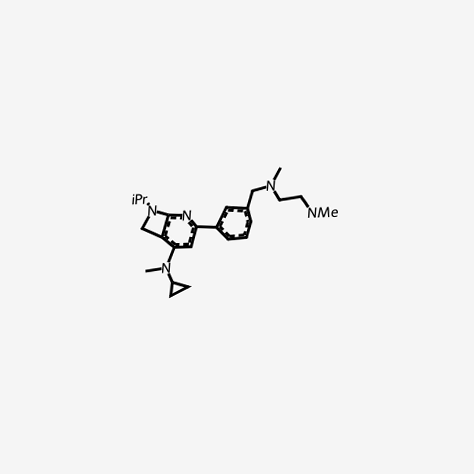 CNCCN(C)Cc1cccc(-c2cc(N(C)C3CC3)c3c(n2)N(C(C)C)C3)c1